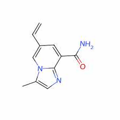 C=Cc1cc(C(N)=O)c2ncc(C)n2c1